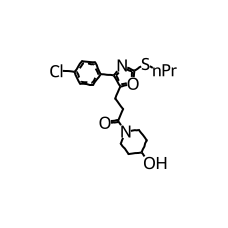 CCCSc1nc(-c2ccc(Cl)cc2)c(CCC(=O)N2CCC(O)CC2)o1